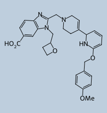 COc1ccc(COC2=CC=CC(C3=CCN(Cc4nc5ccc(C(=O)O)cc5n4CC4CCO4)CC3)N2)cc1